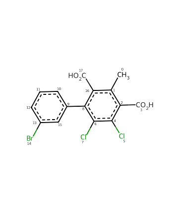 Cc1c(C(=O)O)c(Cl)c(Cl)c(-c2cccc(Br)c2)c1C(=O)O